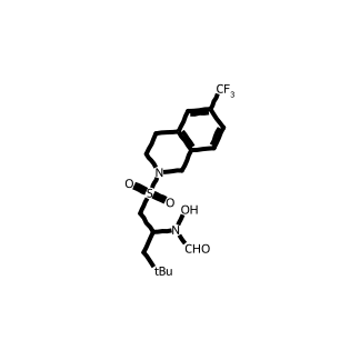 CC(C)(C)CC(CS(=O)(=O)N1CCc2cc(C(F)(F)F)ccc2C1)N(O)C=O